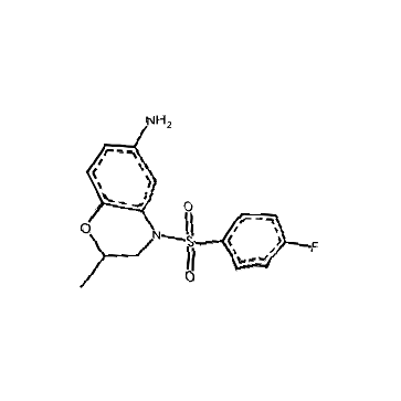 CC1CN(S(=O)(=O)c2ccc(F)cc2)c2cc(N)ccc2O1